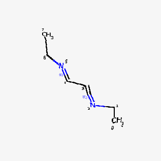 CC/N=C/C=N/CC